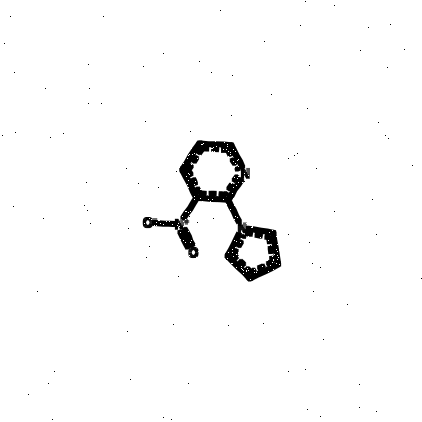 O=[N+]([O-])c1cccnc1-n1cccc1